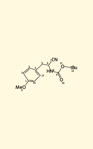 COc1ccc(CC(C#N)NC(=O)OC(C)(C)C)cc1